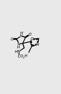 Cc1ncoc1C1(CNC(=O)O)NC(=O)NC1=O